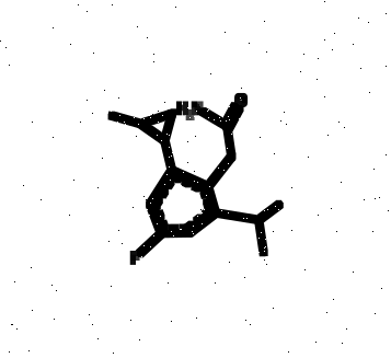 CC(C)c1cc(F)cc(C2CC2C)c1CC(N)=O